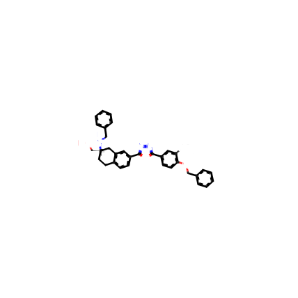 OC[C@]1(NCc2ccccc2)CCc2ccc(-c3nnc(-c4ccc(OCc5ccccc5)c(C(F)(F)F)c4)o3)cc2C1